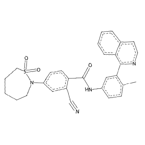 Cc1ccc(NC(=O)c2ccc(N3CCCCCS3(=O)=O)cc2C#N)cc1-c1nccc2ccccc12